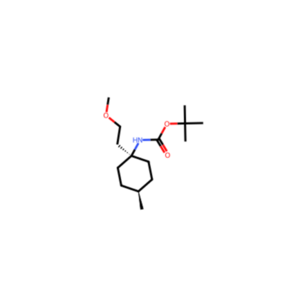 COCC[C@]1(NC(=O)OC(C)(C)C)CC[C@@H](C)CC1